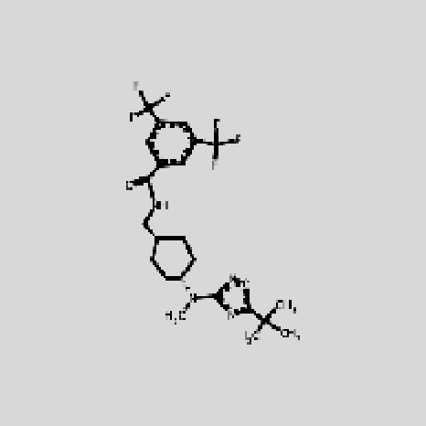 CN(c1noc(C(C)(C)C)n1)[C@H]1CC[C@H](CNC(=O)c2cc(C(F)(F)F)cc(C(F)(F)F)c2)CC1